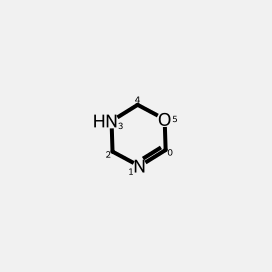 C1=NCNCO1